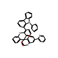 c1ccc(-n2c3ccccc3c3cccc(-c4cccc5c4Sc4ccccc4C54c5ccccc5Sc5cc(-c6ccccn6)ccc54)c32)cc1